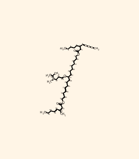 C=C=C=C=CC(CCCCC)CC(=O)OCCCCCCCCC(CCCCCCCCOC(=O)CC(C)CCCCC)OCCCN(C)C(C)C